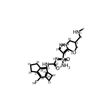 CNCC1COc2c(S(N)(=O)=NC(=O)Nc3c4c(c(F)c5c3CC5)CCC4)cnn2C1